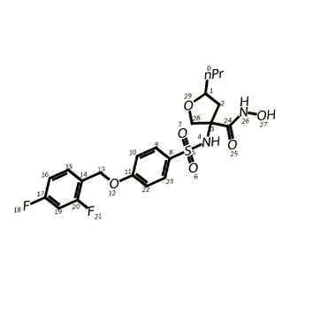 CCCC1CC(NS(=O)(=O)c2ccc(OCc3ccc(F)cc3F)cc2)(C(=O)NO)CO1